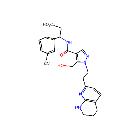 N#Cc1cccc(C(CC(=O)O)NC(=O)c2cnn(CCc3ccc4c(n3)NCCC4)c2CO)c1